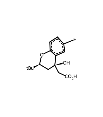 CC(C)(C)[C@@H]1C[C@@](O)(CC(=O)O)c2cc(F)ccc2O1